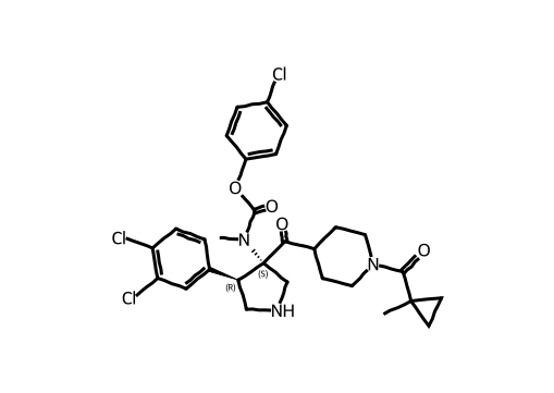 CN(C(=O)Oc1ccc(Cl)cc1)[C@]1(C(=O)C2CCN(C(=O)C3(C)CC3)CC2)CNC[C@H]1c1ccc(Cl)c(Cl)c1